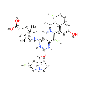 CCc1c(F)ccc2cc(O)cc(-c3ncc4c(N5C[C@H]6CC(C(=O)O)C[C@@H]6C5)nc(OC[C@@]56CCCN5C[C@H](F)C6)nc4c3F)c12